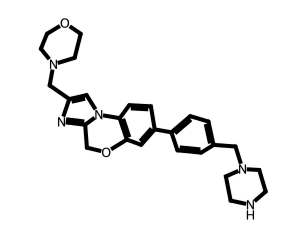 c1cc(-c2ccc3c(c2)OCc2nc(CN4CCOCC4)cn2-3)ccc1CN1CCNCC1